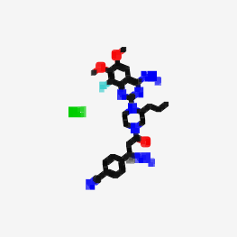 CCCC1CN(C(=O)C[C@@H](N)c2ccc(C#N)cc2)CCN1c1nc(N)c2cc(OC)c(OC)c(F)c2n1.Cl